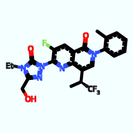 CCn1c(CO)nn(-c2nc3c([C@H](C)C(F)(F)F)cn(-c4ccccc4C)c(=O)c3cc2F)c1=O